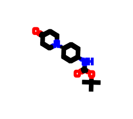 CC(C)(C)OC(=O)N[C@H]1CC[C@H](N2CCC(=O)CC2)CC1